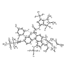 C[C@@H]1c2c(C(F)(F)F)nn(CC(=O)N[C@@H](Cc3cc(F)cc(F)c3)c3nc(C#CC(C)(C)S(C)(=O)=O)ccc3-c3ccc(Cl)c4c(N(C(=O)[C@H]5C[C@H]5C(=O)O)S(C)(=O)=O)nn(CC(F)(F)F)c34)c2C(F)(F)[C@@H]1C